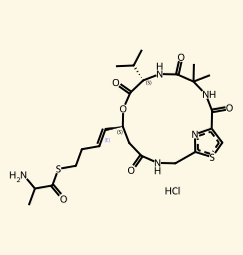 CC(N)C(=O)SCC/C=C/[C@@H]1CC(=O)NCc2nc(cs2)C(=O)NC(C)(C)C(=O)N[C@@H](C(C)C)C(=O)O1.Cl